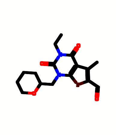 CCn1c(=O)c2c(C)c(C=O)sc2n(CC2CCCCO2)c1=O